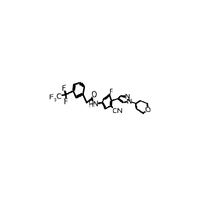 N#Cc1cc(NC(=O)Cc2cccc(C(F)(F)C(F)(F)F)c2)cc(F)c1-c1cnn(C2CCOCC2)c1